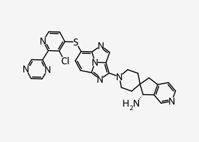 N[C@H]1c2cnccc2CC12CCN(c1nc3ccc(Sc4ccnc(-c5cnccn5)c4Cl)c4ncc1n34)CC2